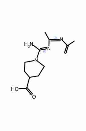 C=C(C)/N=C(C)\N=C(/N)N1CCC(C(=O)O)CC1